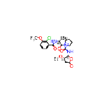 CCO[C@H]1CC(=O)O[C@H]1NC(=O)[N+]1(C(=O)[C@@H](NC(=O)c2cccc(OC(F)(F)F)c2Cl)C(C)(C)C)CCCC1